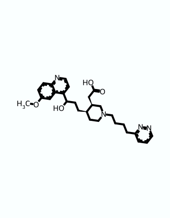 COc1ccc2nccc(C(O)CC[C@@H]3CCN(CCCCc4cccnn4)C[C@@H]3CC(=O)O)c2c1